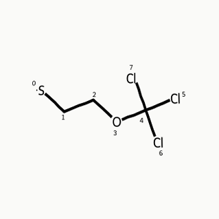 [S]CCOC(Cl)(Cl)Cl